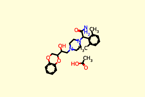 CC(=O)O.Cc1cccc(C)c1C(C(N)=O)N1CCN(CC(O)C2COc3ccccc3O2)CC1